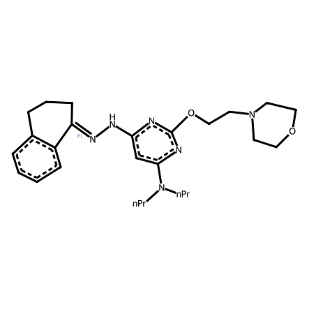 CCCN(CCC)c1cc(N/N=C2\CCCc3ccccc32)nc(OCCN2CCOCC2)n1